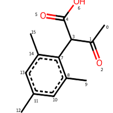 CC(=O)C(C(=O)O)c1c(C)cc(C)cc1C